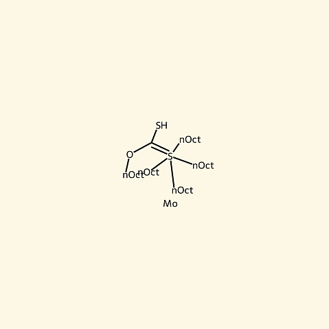 CCCCCCCCOC(S)=S(CCCCCCCC)(CCCCCCCC)(CCCCCCCC)CCCCCCCC.[Mo]